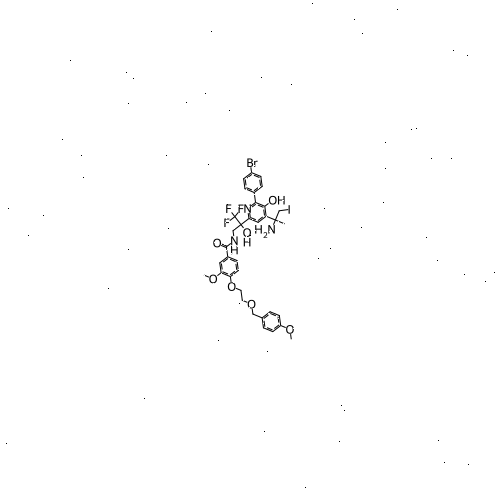 COc1ccc(COCCOc2ccc(C(=O)NCC(O)(c3cc(C(C)(N)CI)c(O)c(-c4ccc(Br)cc4)n3)C(F)(F)F)cc2OC)cc1